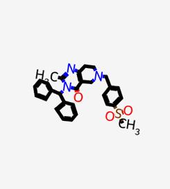 Cc1nc2c(c(=O)n1C(c1ccccc1)c1ccccc1)CN(Cc1ccc(S(C)(=O)=O)cc1)CC2